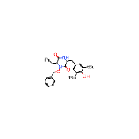 CC(C)CC1C(=O)NC(Cc2cc(C(C)(C)C)c(O)c(C(C)(C)C)c2)C(=O)N1OCc1ccccc1